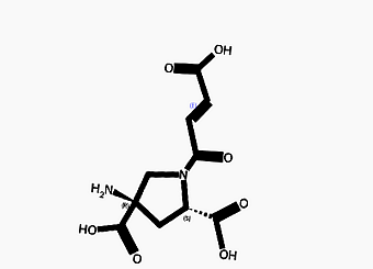 N[C@]1(C(=O)O)C[C@@H](C(=O)O)N(C(=O)/C=C/C(=O)O)C1